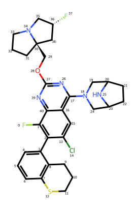 Fc1c(-c2cccc3c2CCCS3)c(Cl)cc2c(N3CC4CCC(C3)N4)nc(OC[C@@]34CCCN3C[C@H](F)C4)nc12